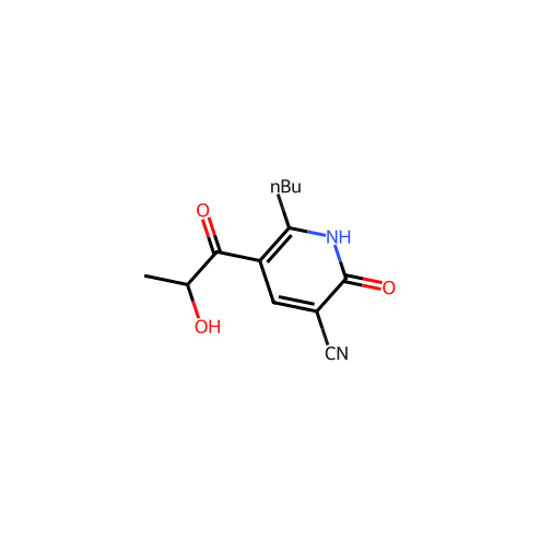 CCCCc1[nH]c(=O)c(C#N)cc1C(=O)C(C)O